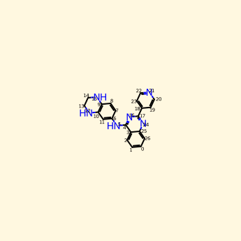 c1ccc2c(Nc3ccc4c(c3)NCCN4)nc(-c3ccncc3)nc2c1